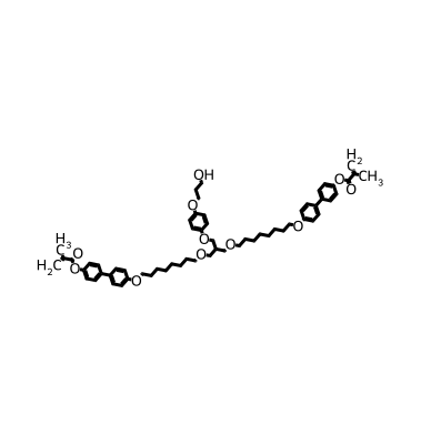 C=C(C)C(=O)Oc1ccc(-c2ccc(OCCCCCCCCOCC(COCCCCCCCCOc3ccc(-c4ccc(OC(=O)C(=C)C)cc4)cc3)COc3ccc(OCCCO)cc3)cc2)cc1